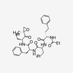 CCC(=O)N[C@@H](CCc1ccccc1)C(=O)NC(CC(C)C)C(=O)N[C@@H](Cc1ccccc1)C(=O)N[C@@H](CC(C)C)C(=O)[C@@]1(C)CO1